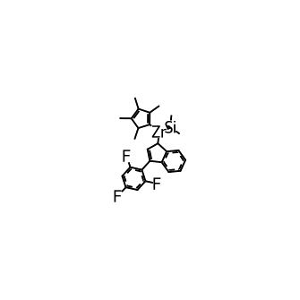 CC1=C(C)C(C)[C]([Zr]([CH]2C=C(c3c(F)cc(F)cc3F)c3ccccc32)=[Si](C)C)=C1C